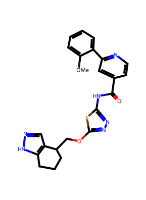 COc1ccccc1-c1cc(C(=O)Nc2nnc(OCC3CCCc4[nH]ncc43)s2)ccn1